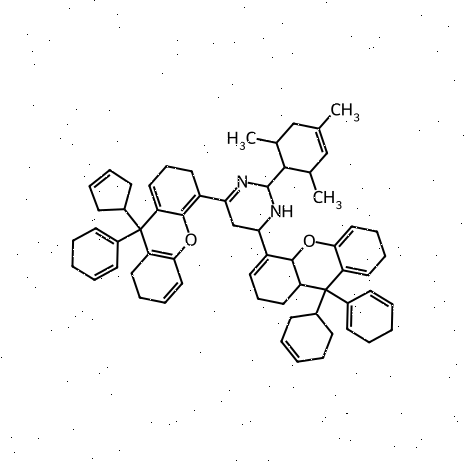 CC1=CC(C)C(C2N=C(C3=C4OC5=C(CCC=C5)C(C5=CCCC=C5)(C5CC=CC5)C4=CCC3)CC(C3=CCCC4C3OC3=CCCC=C3C4(C3=CCCC=C3)C3CC=CCC3)N2)C(C)C1